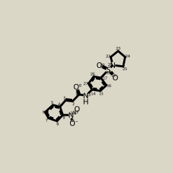 O=C(/C=C/c1ccccc1[N+](=O)[O-])Nc1ccc(S(=O)(=O)N2CCCC2)cc1